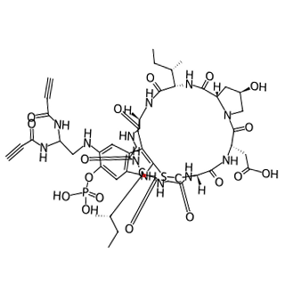 C#CC(=O)NC(CNc1cc2c3c([nH]c2cc1OP(=O)(O)O)SC[C@@H]1NC(=O)CNC(=O)[C@H]([C@@H](C)CC)CNC(=O)CNC(=O)[C@H](C3)NC(=O)[C@H]([C@@H](C)CC)NC(=O)[C@@H]2C[C@@H](O)CN2C(=O)[C@H](CC(=O)O)NC1=O)NC(=O)C#C